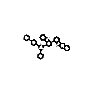 C1=CC(c2ccc(-c3nc(-c4ccccc4)nc(-c4ccc(-c5cccc6c5oc5cc7ccccc7cc56)c5oc6ccccc6c45)n3)cc2)=CCC1